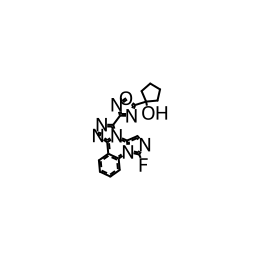 OC1(c2nc(-c3nnc4c5ccccc5n5c(F)ncc5n34)no2)CCCC1